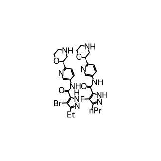 CCCc1n[nH]c(C(=O)Nc2ccc([C@@H]3CNCCO3)nc2)c1F.CCc1n[nH]c(C(=O)Nc2ccc([C@@H]3CNCCO3)nc2)c1Br